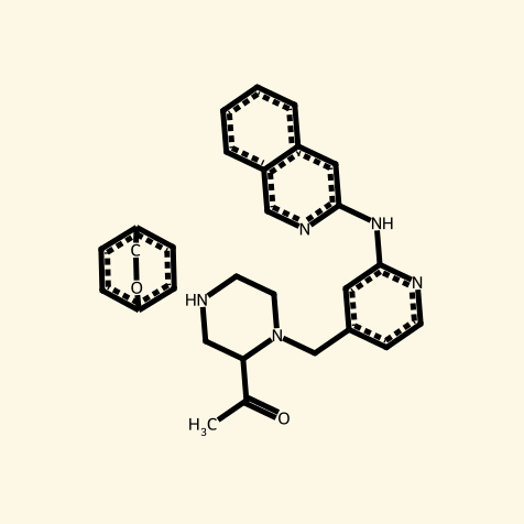 CC(=O)C1CNCCN1Cc1ccnc(Nc2cc3ccccc3cn2)c1.c1cc2ccc1CO2